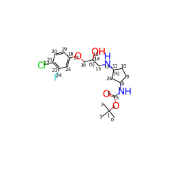 CC(C)(C)OC(=O)NC1CC[C@H](NC[C@H](O)COc2ccc(Cl)c(F)c2)C1